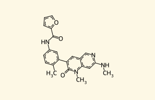 CNc1cc2c(cn1)cc(-c1cc(NC(=O)c3ccco3)ccc1C)c(=O)n2C